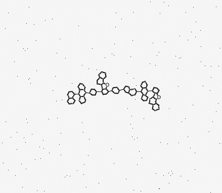 c1ccc2c(-c3c4ccccc4c(-c4ccc(-c5ccc(-c6ccc(-c7ccc8cc(-c9c%10ccccc%10c(-c%10cccc%11oc%12c%13ccccc%13ccc%12c%10%11)c%10ccccc9%10)ccc8c7)cc6)c6oc7c8ccccc8ccc7c56)cc4)c4ccccc34)cccc2c1